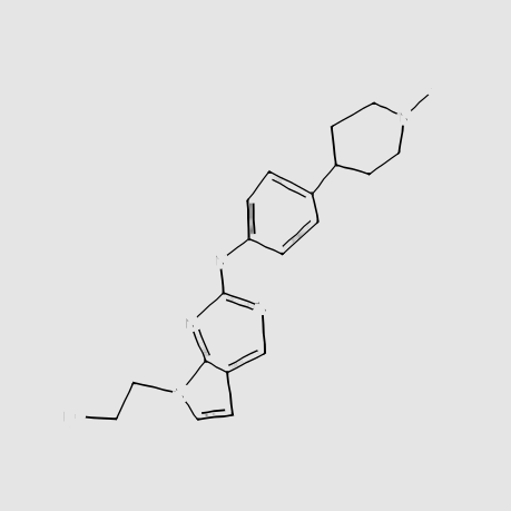 [CH2]CCn1ccc2cnc(Nc3ccc(C4CCN(C)CC4)cc3)nc21